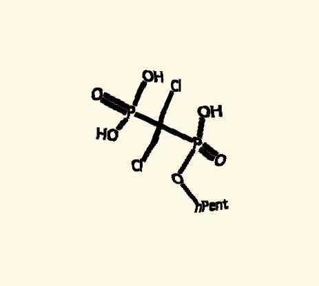 CCCCCOP(=O)(O)C(Cl)(Cl)P(=O)(O)O